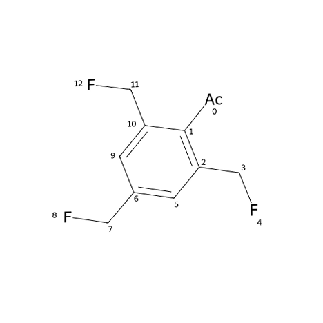 CC(=O)c1c(CF)cc(CF)cc1CF